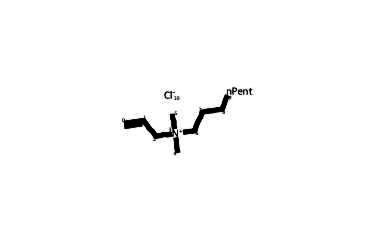 C=CC[N+](C)(C)CCCCCCCC.[Cl-]